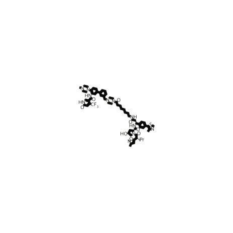 Cc1cc([C@H](C(=O)N2C[C@H](O)C[C@H]2C(=O)N[C@@H](CC(=O)NCCCCCCCC(=O)N2CCN(Cc3cccc(-c4ccc(N5CCN(C)CC5)c(NC(=O)c5c[nH]c(=O)cc5C(F)(F)F)c4)c3)CC2)c2ccc(-c3scnc3C)cc2)C(C)C)on1